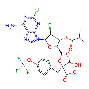 CC(C)C(=O)O[C@H]1[C@H](F)[C@H](n2cnc3c(N)nc(Cl)nc32)O[C@@H]1COC(Cc1ccc(OC(F)(F)F)cc1)(C(=O)O)C(=O)O